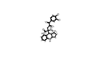 CNC(CC(=O)C(=O)c1ccc(Cl)c(Cl)c1)(C(=O)O)C1c2ccccc2NC2CCCC21